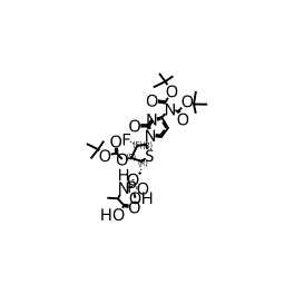 CC(NP(=O)(O)OC[C@H]1S[C@@H](n2ccc(N(C(=O)OC(C)(C)C)C(=O)OC(C)(C)C)nc2=O)[C@@H](F)[C@@H]1OC(=O)OC(C)(C)C)C(=O)O